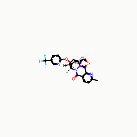 Cc1ccc(C(=O)N2C[C@@H]3CC[C@H]2[C@H](Oc2ccc(C(F)(F)F)cn2)C3)c(-c2ncco2)n1